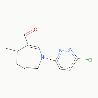 CC1CC=CN(c2ccc(Cl)nn2)C=C1C=O